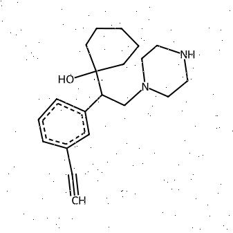 C#Cc1cccc(C(CN2CCNCC2)C2(O)CCCCC2)c1